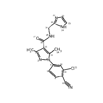 Cc1nn(-c2ccc(C#N)c(Cl)c2)c(C)c1C(=O)NCc1ncc[nH]1